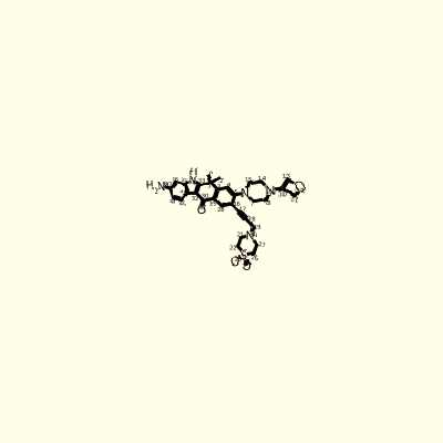 CC1(C)c2cc(N3CCN(C4COC4)CC3)c(C#CCN3CCS(=O)(=O)CC3)cc2C(=O)c2c1[nH]c1cc(N)ccc21